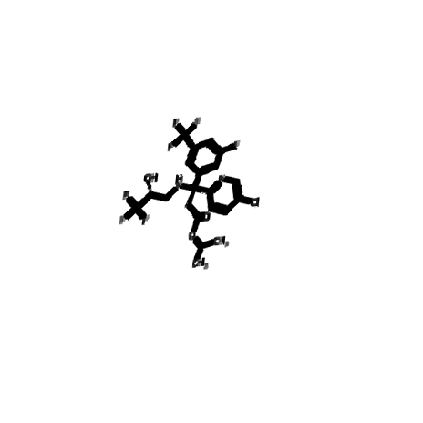 CC(C)OC(=O)C[C@@](NC[C@@H](O)C(F)(F)F)(c1cc(F)cc(C(F)(F)F)c1)c1ccc(Cl)cn1